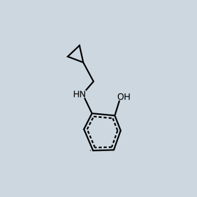 Oc1cc[c]cc1NCC1CC1